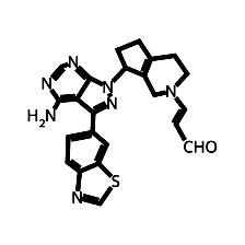 Nc1ncnc2c1c(-c1ccc3ncsc3c1)nn2C1CCC2=C1CN(C=CC=O)CC2